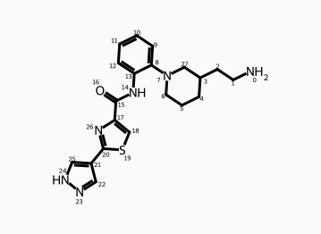 NCCC1CCCN(c2ccccc2NC(=O)c2csc(-c3cn[nH]c3)n2)C1